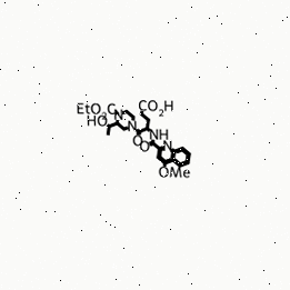 CCOC(=O)N1CCN(C(=O)C(CCC(=O)O)NC(=O)c2cc(OC)c3ccccc3n2)CC1C(C)O